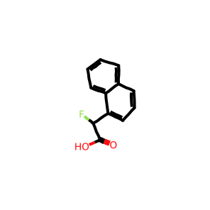 O=C(O)C(F)c1cccc2ccccc12